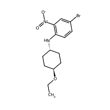 CCO[C@H]1CC[C@H](Nc2ccc(Br)cc2[N+](=O)[O-])CC1